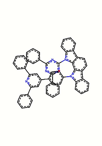 c1ccc(-c2cc(-c3ccc(-n4c5ccccc5c5ccc6c7ccccc7n(-c7nc(-c8ccccc8)nc(-c8ccccc8)n7)c6c54)cc3)cc(-c3ccccc3)n2)cc1